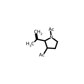 C=C(C)C1C(C(C)=O)CCN1C(C)=O